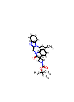 CCCCn1c(CN2C(=O)C3(CN(C(=O)OC(C)(C)C)C3)c3ccccc32)nc2c1CCCC2